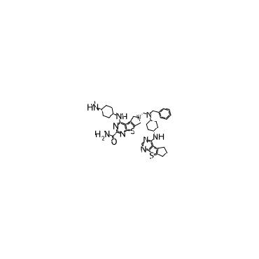 CN[C@H]1CC[C@@H](Nc2nc(C(N)=O)nc3sc4c(c23)C[C@H](CN(Cc2ccccc2)C2CCC(Nc3ncnc5sc6c(c35)CCC6)CC2)C4)CC1